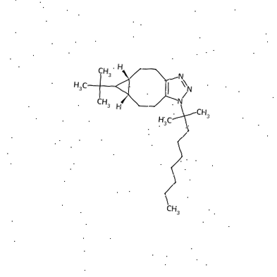 CCCCCCCC(C)(C)n1nnc2c1CC[C@@H]1C(C(C)(C)C)[C@@H]1CC2